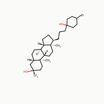 CC(C)C1CCC(O)(CCC[C@@H]2CC[C@H]3[C@@H]4CC[C@H]5C[C@](O)(C(F)(F)F)CC[C@]5(C)[C@H]4CC[C@]23C)CC1